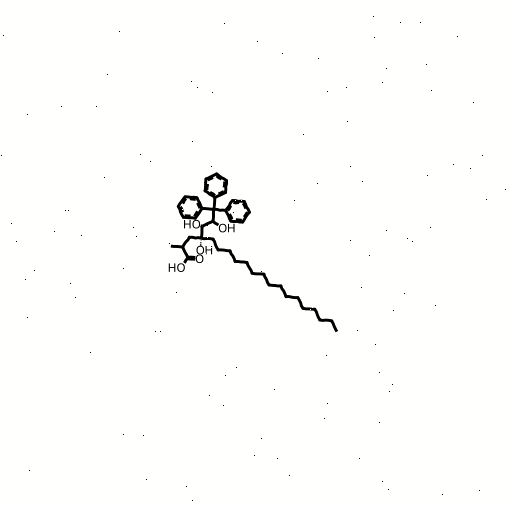 CCCCCCCCCCCCCCCC[C@@](O)(CC(C)C(=O)O)C(O)C(O)C(c1ccccc1)(c1ccccc1)c1ccccc1